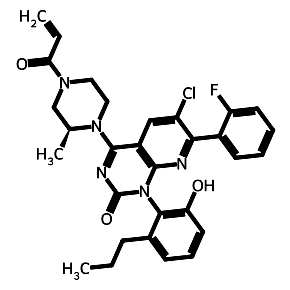 C=CC(=O)N1CCN(c2nc(=O)n(-c3c(O)cccc3CCC)c3nc(-c4ccccc4F)c(Cl)cc23)[C@@H](C)C1